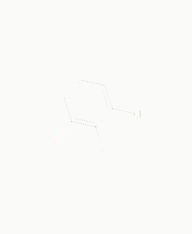 [B]c1cccc(Cl)c1F